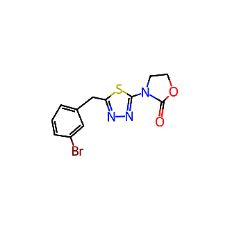 O=C1OCCN1c1nnc(Cc2cccc(Br)c2)s1